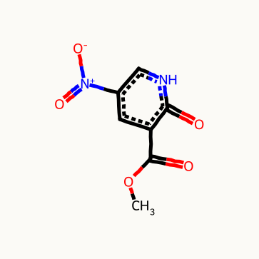 COC(=O)c1cc([N+](=O)[O-])c[nH]c1=O